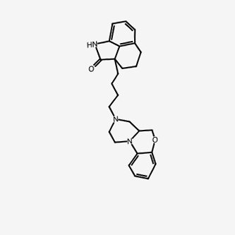 O=C1Nc2cccc3c2C1(CCCCN1CCN2c4ccccc4OCC2C1)CCC3